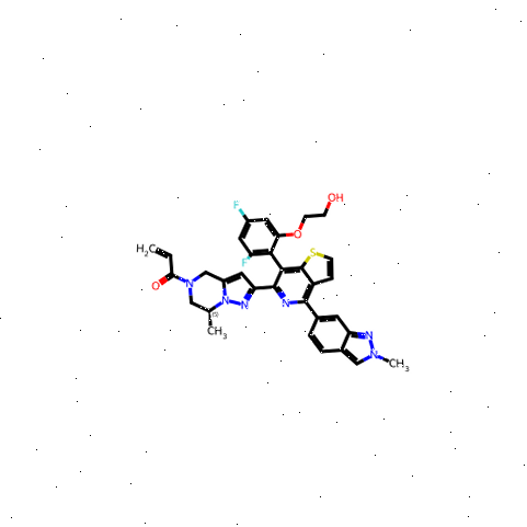 C=CC(=O)N1Cc2cc(-c3nc(-c4ccc5cn(C)nc5c4)c4ccsc4c3-c3c(F)cc(F)cc3OCCO)nn2[C@@H](C)C1